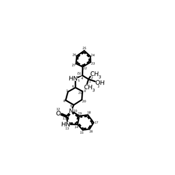 CC(C)(O)[C@@H](NC1CCC(n2c(=O)[nH]c3ccccc32)CC1)c1ccccc1